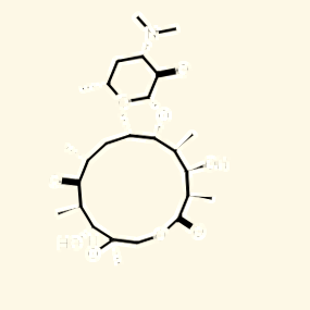 C[C@H]1[C@@H](O)[C@@H](C)C(=O)OC[C@@](C)(O)[C@H](O)[C@@H](C)C(=O)[C@H](C)C[C@H](C)[C@@H]1O[C@@H]1O[C@H](C)C[C@H](N(C)C)C1=O